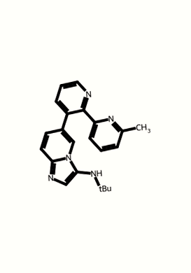 Cc1cccc(-c2ncccc2-c2ccc3ncc(NC(C)(C)C)n3c2)n1